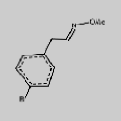 CON=CCc1ccc(Br)cc1